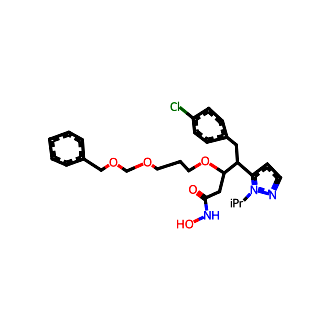 CC(C)n1nccc1C(Cc1ccc(Cl)cc1)C(CC(=O)NO)OCCCOCOCc1ccccc1